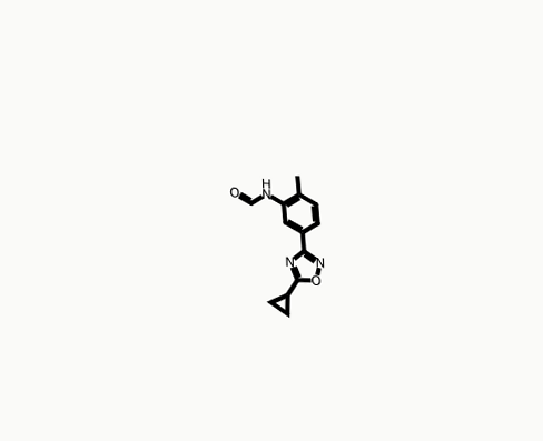 Cc1ccc(-c2noc(C3CC3)n2)cc1NC=O